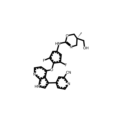 C[C@]1(CO)CN=C(Nc2cc(F)c(Oc3ccnc4[nH]cc(-c5ccnc(C#N)c5)c34)c(F)c2)OC1